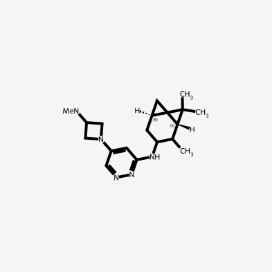 CNC1CN(c2cnnc(NC3C[C@H]4CC45[C@@H](C3C)C5(C)C)c2)C1